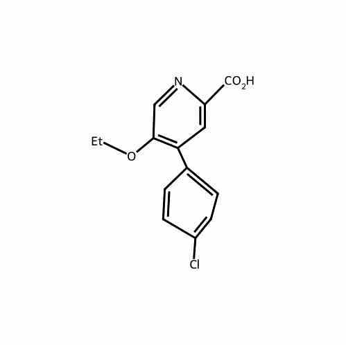 CCOc1cnc(C(=O)O)cc1-c1ccc(Cl)cc1